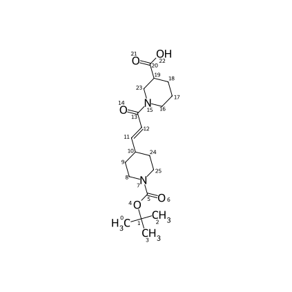 CC(C)(C)OC(=O)N1CCC(C=CC(=O)N2CCCC(C(=O)O)C2)CC1